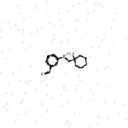 O=Cc1cccc(SCC2(O)CCCCC2)c1